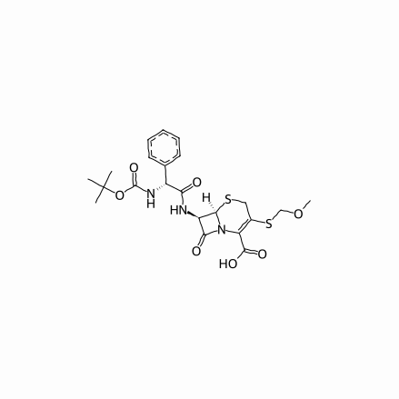 COCSC1=C(C(=O)O)N2C(=O)[C@@H](NC(=O)[C@H](NC(=O)OC(C)(C)C)c3ccccc3)[C@H]2SC1